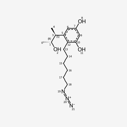 C[C@@H](O)[C@@H](C)c1cc(O)cc(O)c1CCCCCCN=[N+]=[N-]